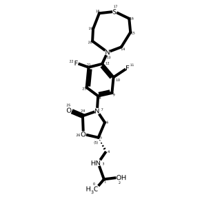 CC(O)NC[C@H]1CN(c2cc(F)c(N3CCCSCCC3)c(F)c2)C(=O)O1